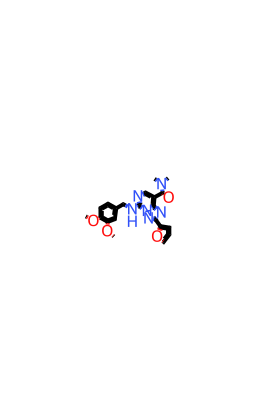 COc1ccc(CNc2ncc(C(=O)N(C)C)c3nc(-c4ccco4)nn23)cc1OC